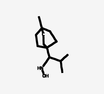 CC(C)C(NO)C12CCC(C)(CC1)CC2